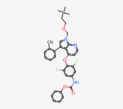 C[Si](C)(C)CCOCn1cc(-c2ccccc2C#N)c2c(Oc3c(F)cc(NC(=O)Oc4ccccc4)cc3F)ccnc21